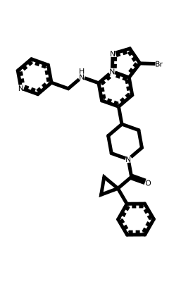 O=C(N1CCC(c2cc(NCc3cccnc3)n3ncc(Br)c3c2)CC1)C1(c2ccccc2)CC1